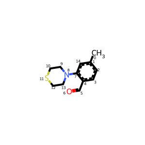 Cc1ccc(C=O)c(N2CCSCC2)c1